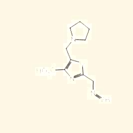 O=C(O)c1nc(CN=P)oc1CN1CCCC1